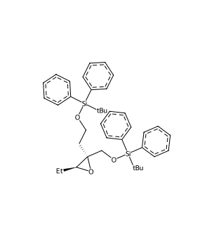 CC[C@@H]1O[C@]1(CCO[Si](c1ccccc1)(c1ccccc1)C(C)(C)C)CO[Si](c1ccccc1)(c1ccccc1)C(C)(C)C